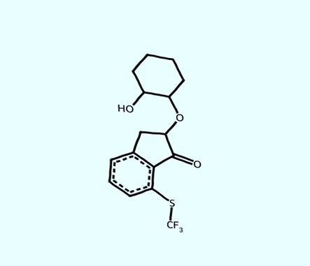 O=C1c2c(cccc2SC(F)(F)F)CC1OC1CCCCC1O